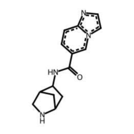 O=C(NC1CC2CC1CN2)c1ccc2nccn2c1